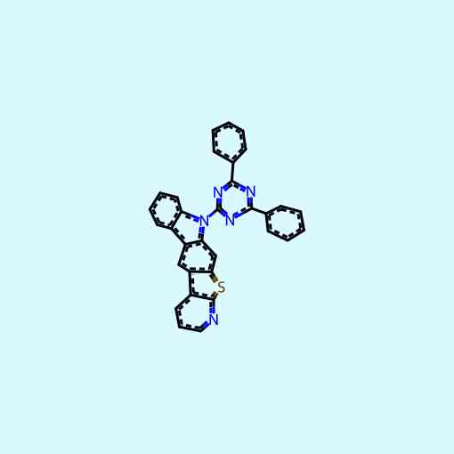 c1ccc(-c2nc(-c3ccccc3)nc(-n3c4ccccc4c4cc5c(cc43)sc3ncccc35)n2)cc1